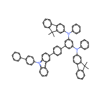 CC1(C)c2ccccc2-c2ccc(N(c3ccccc3)c3cc(-c4ccc(-c5ccc6c(c5)c5ccccc5n6-c5ccc(-c6ccccc6)cc5)cc4)cc(N(c4ccccc4)c4ccc5c(c4)C(C)(C)c4ccccc4-5)c3)cc21